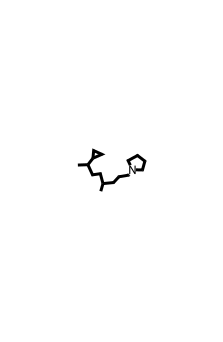 CC(CCCN1CCCC1)CCC(C)C1CC1